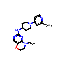 COc1cc(N2CCC(Nc3ncc4c(n3)N(CC(F)(F)F)CCO4)CC2)ccn1